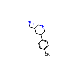 NCC1C[N]CC(c2ccc(C(F)(F)F)cc2)C1